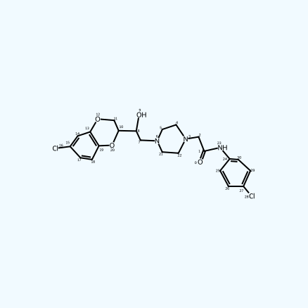 O=C(CN1CCN(CC(O)C2COc3cc(Cl)ccc3O2)CC1)Nc1ccc(Cl)cc1